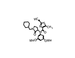 C#Cc1nc(C(=O)N(c2cc(OC)cc(OC)c2)C2CCN(CC3CCCCC3)C2=O)c(C)s1